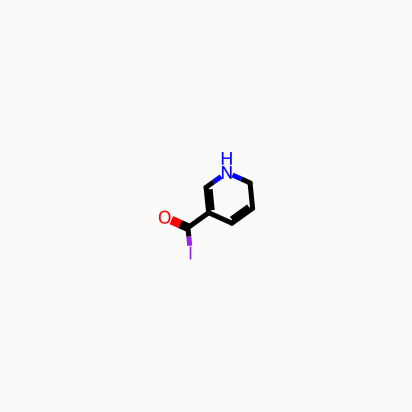 O=C(I)C1=CNCC=C1